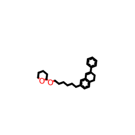 C1=C(c2ccccc2)CCc2ccc(CCCCCCOC3CCCCO3)cc21